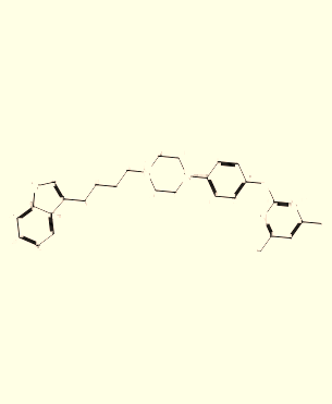 Cc1cc(C)nc(Sc2ccc(N3CCN(CCCCc4c[nH]c5ccccc45)CC3)cc2)n1